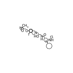 Cc1ncoc1COc1ccc2c(c1I)CCN(C[C@@H](O)CNC(=O)C1CCN(C3CCCCCCCC3)C(NC3CCC3)C1)C2